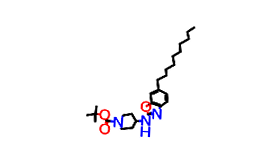 CCCCCCCCCCc1ccc2nc(NC3CCN(C(=O)OC(C)(C)C)CC3)oc2c1